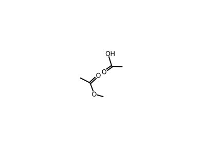 CC(=O)O.COC(C)=O